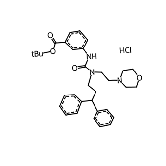 CC(C)(C)OC(=O)c1cccc(NC(=O)N(CCC(c2ccccc2)c2ccccc2)CCN2CCOCC2)c1.Cl